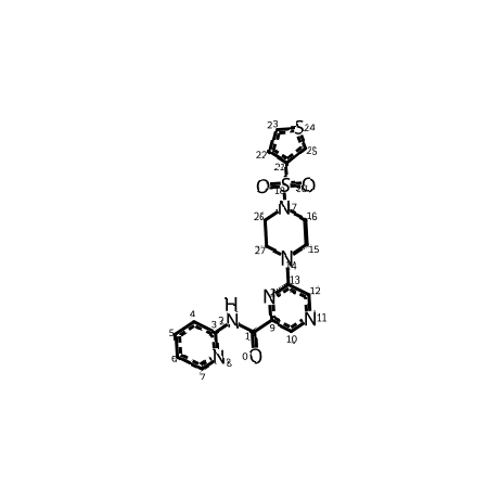 O=C(Nc1ccccn1)c1cncc(N2CCN(S(=O)(=O)c3ccsc3)CC2)n1